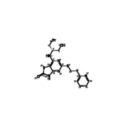 CC(C)C[C@H](CO)Nc1nc(SCCc2ccccn2)nc2[nH]c(=O)sc12